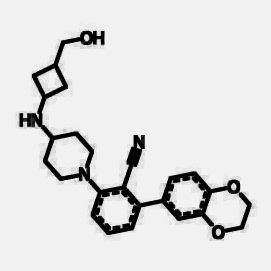 N#Cc1c(-c2ccc3c(c2)OCCO3)cccc1N1CCC(NC2CC(CO)C2)CC1